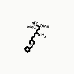 CCCC(OC)C(CC[CH]([InH2])CCCC1CCN(Cc2ccccc2)CC1)OC